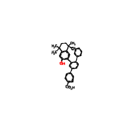 CC1(C)CCC(C)(C)c2cc(-c3cc(-c4ccc(C(=O)O)cc4)ccc3-c3ccccc3)c(O)cc21